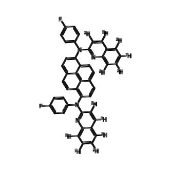 [2H]c1c([2H])c([2H])c2c([2H])c([2H])c(N(c3ccc(F)cc3)c3ccc4ccc5c(N(c6ccc(F)cc6)c6nc7c([2H])c([2H])c([2H])c([2H])c7c([2H])c6[2H])ccc6ccc3c4c65)nc2c1[2H]